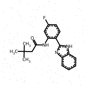 CC(C)(C)CC(=O)Nc1cc(F)ccc1-c1nc2ccccc2[nH]1